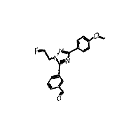 COc1ccc(-c2nc(-c3cccc(C=O)c3)n(CCF)n2)cc1